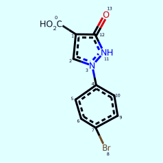 O=C(O)c1cn(-c2ccc(Br)cc2)[nH]c1=O